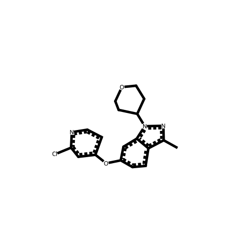 Cc1nn(C2CCOCC2)c2cc(Oc3ccnc(Cl)c3)ccc12